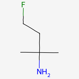 CC(C)(N)CCF